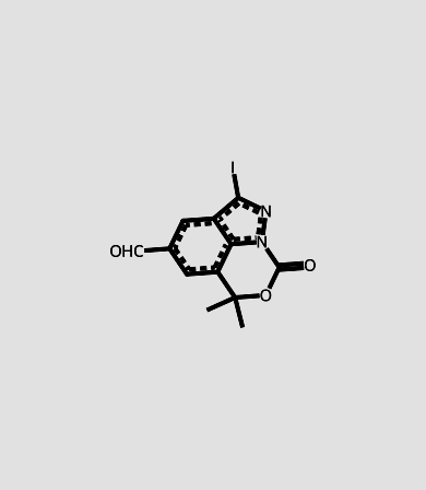 CC1(C)OC(=O)n2nc(I)c3cc(C=O)cc1c32